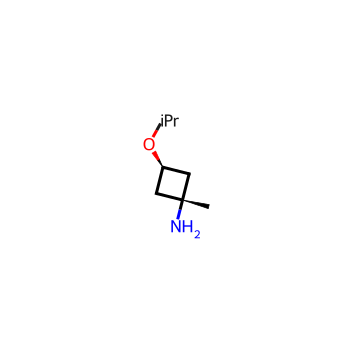 CC(C)O[C@H]1C[C@](C)(N)C1